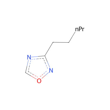 CCCCCc1ncon1